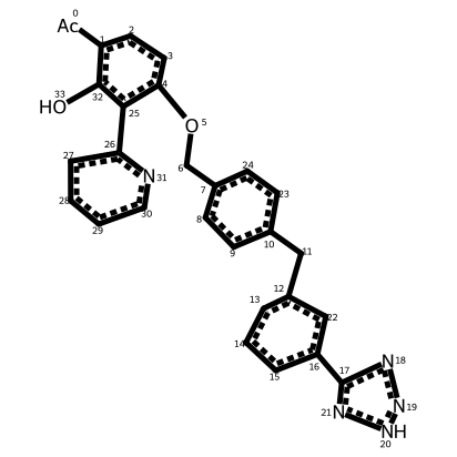 CC(=O)c1ccc(OCc2ccc(Cc3cccc(-c4nn[nH]n4)c3)cc2)c(-c2ccccn2)c1O